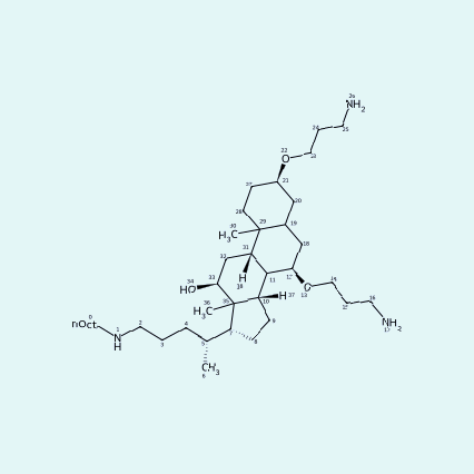 CCCCCCCCNCCC[C@@H](C)[C@H]1CC[C@H]2C3[C@H](OCCCN)CC4C[C@H](OCCCN)CCC4(C)[C@H]3C[C@H](O)C12C